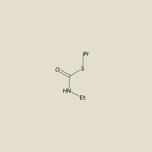 CCNC(=O)SC(C)C